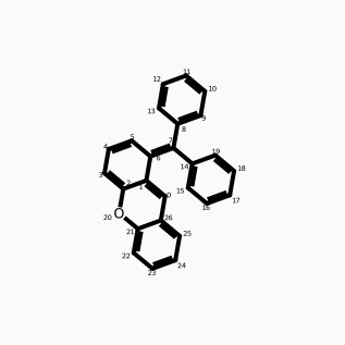 C1=c2c(cccc2=C(c2ccccc2)c2ccccc2)Oc2ccccc21